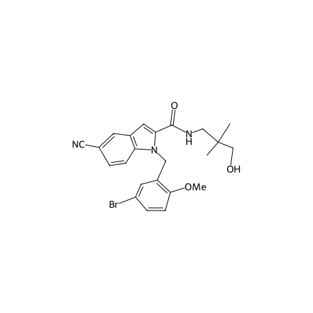 COc1ccc(Br)cc1Cn1c(C(=O)NCC(C)(C)CO)cc2cc(C#N)ccc21